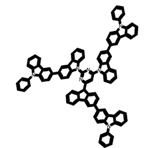 c1ccc(-n2c3ccccc3c3cc(-c4ccc5c(c4)-c4ccccc4C5c4cc(-n5c6ccccc6c6cc(-c7ccc8c(c7)c7ccccc7n8-c7ccccc7)ccc65)nc(-n5c6ccccc6c6cc(-c7ccc8c(c7)c7ccccc7n8-c7ccccc7)ccc65)n4)ccc32)cc1